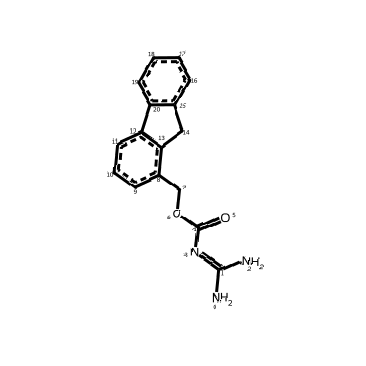 NC(N)=NC(=O)OCc1cccc2c1Cc1ccccc1-2